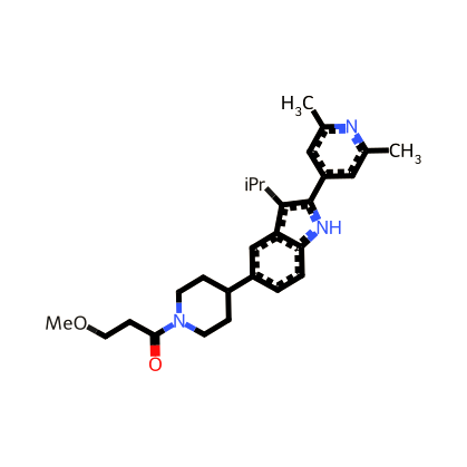 COCCC(=O)N1CCC(c2ccc3[nH]c(-c4cc(C)nc(C)c4)c(C(C)C)c3c2)CC1